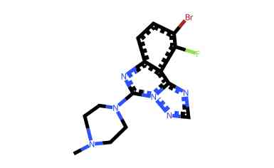 CN1CCN(c2nc3ccc(Br)c(F)c3c3ncnn23)CC1